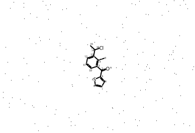 Cc1c(C(=O)c2cccs2)cccc1C(C)Cl